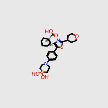 O=C(O)[C@@H]1CCCC[C@H]1c1nc(C2CCOCC2)sc1-c1ccc(N2CCS(O)(O)CC2)cc1